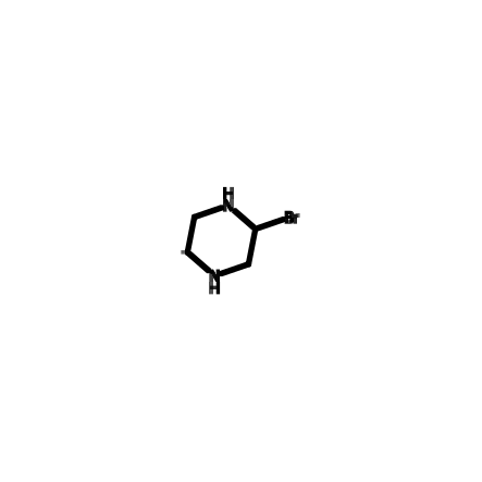 BrC1CN[CH]CN1